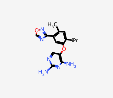 Cc1cc(C(C)C)c(Oc2cnc(N)nc2N)cc1-c1ncon1